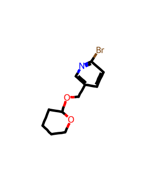 Brc1ccc(COC2CCCCO2)cn1